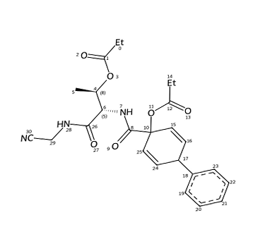 CCC(=O)O[C@H](C)[C@H](NC(=O)C1(OC(=O)CC)C=CC(c2ccccc2)C=C1)C(=O)NCC#N